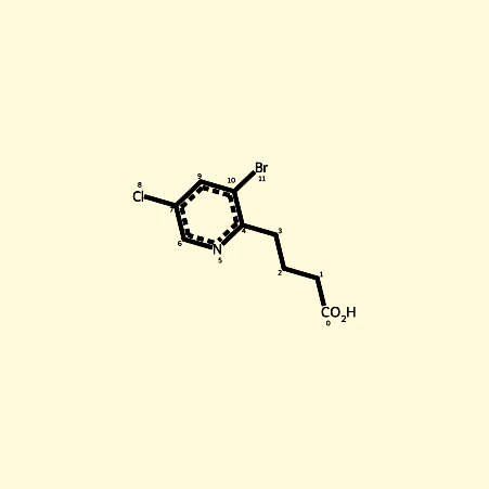 O=C(O)CCCc1ncc(Cl)cc1Br